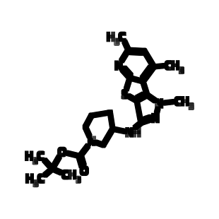 Cc1cc(C)c2c(n1)sc1c(NC3CCCN(C(=O)OC(C)(C)C)C3)nn(C)c12